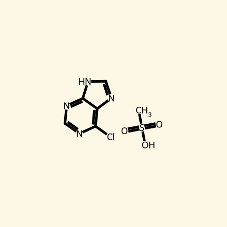 CS(=O)(=O)O.Clc1ncnc2[nH]cnc12